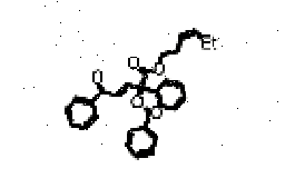 CC/C=C\CCOC(=O)C(/C=C/C(=O)c1ccccc1)(OC(=O)c1ccccc1)c1ccccc1